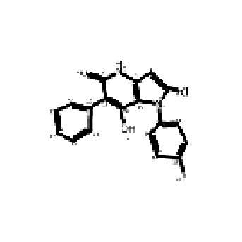 O=c1[nH]c2cc(Cl)n(-c3ccc(F)cc3)c2c(O)c1-c1ccccc1